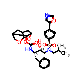 CC(C)CN(C[C@@H](O)[C@H](Cc1ccccc1)NC(=O)OC1C2COC3OC1CC3C2)S(=O)(=O)c1ccc(-c2cnco2)cc1